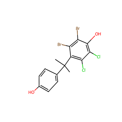 CC(C)(c1ccc(O)cc1)c1c(Cl)c(Cl)c(O)c(Br)c1Br